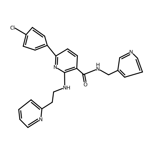 O=C(NCc1cccnc1)c1ccc(-c2ccc(Cl)cc2)nc1NCCc1ccccn1